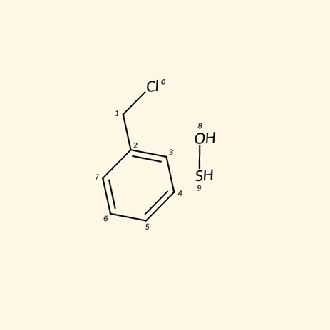 ClCc1ccccc1.OS